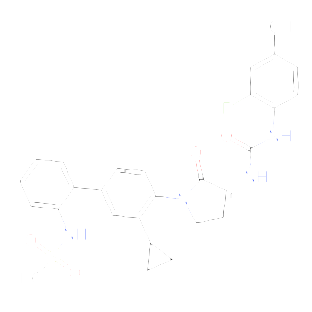 Cc1ccc(NC(=O)N[C@@H]2CCN(c3ccc(-c4ccccc4NS(C)(=O)=O)cc3C3CC3)C2=O)c(F)c1